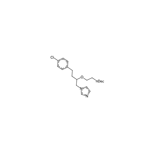 CCCCCCCCCCCCOC(CCc1ccc(Cl)cc1)Cn1ccnc1